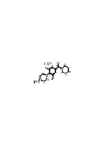 CC(C)N1CCN(c2c(F)cc(C(=O)N3CCCCC3)cc2F)CC1.Cl